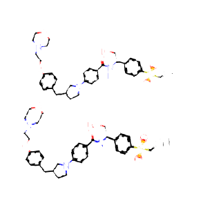 CCS(=O)(=O)c1ccc([C@H](CO)NC(=O)c2ccc(N3CCC(Cc4ccc(OCCN5CCOCC5)cc4)C3)cc2)cc1.CCS(=O)(=O)c1ccc([C@H](CO)NC(=O)c2ccc(N3CCC(Cc4ccc(OCCN5CCOCC5)cc4)C3)cc2)cc1